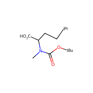 CC(C)CCC(C(=O)O)N(C)C(=O)OC(C)(C)C